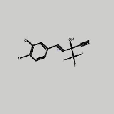 C#CC(O)(/C=C/c1ccc(Cl)c(Cl)c1)C(F)(F)F